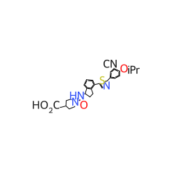 CC(C)Oc1ccc(-c2ncc(-c3cccc4c3CC[C@H]4NC(=O)N3CCC(CC(=O)O)CC3)s2)cc1C#N